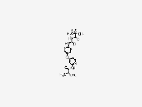 CC(C)C(=O)Nc1cc(Oc2ccc(NC(=O)NC(=O)C(C)(C)C)nc2)ccn1